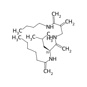 C=C(CCCCC)N[C@@H](CC(C)C)C(=C)NCC(=C)C(=C)NCCCC